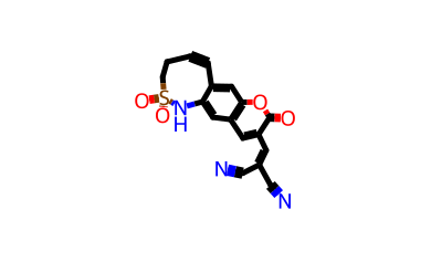 N#CC(C#N)=Cc1cc2cc3c(cc2oc1=O)C#CCCS(=O)(=O)N3